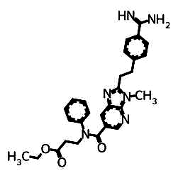 CCOC(=O)CCN(C(=O)c1cnc2c(c1)nc(CCc1ccc(C(=N)N)cc1)n2C)c1ccccc1